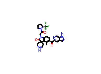 Cc1c(C(=O)c2cc3cn[nH]c3cn2)ccc2c1C1(CCNCC1)C(=O)N2CC(=O)N1CCC[C@@H]1C(F)(F)F